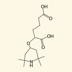 CC1(C)CC(OC(CCCC(=O)O)C(=O)O)CC(C)(C)N1